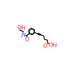 CN(CCO)C(=O)c1cccc(C#CCCCC(=O)O)c1